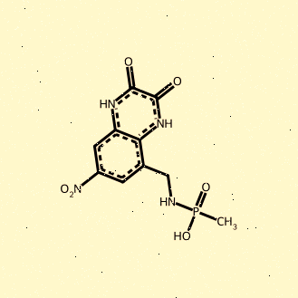 CP(=O)(O)NCc1cc([N+](=O)[O-])cc2[nH]c(=O)c(=O)[nH]c12